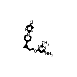 Cc1nc(N)cc(OCCC2CC2C2CCN(c3ncc(Cl)cn3)CC2)n1